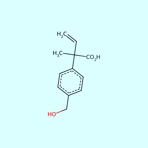 C=CC(C)(C(=O)O)c1ccc(CO)cc1